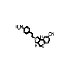 N#Cc1ccc2c(c1)[C@H]1CN(CCc3ccc(N)cc3)C[C@@H]1CO2